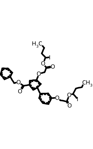 CCCC(I)OC(=O)COc1cccc(-c2cc(OCC(=O)OC(I)CCC)cc(C(=O)OCc3ccccc3)c2)c1